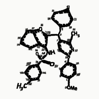 COc1ccc(-n2[c]c(C(c3ccccc3)c3oc4ccccc4c3NS(=O)(=O)c3ccc(C)cc3)c(C)n2)cc1